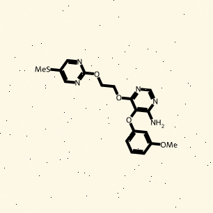 COc1cccc(Oc2c(N)ncnc2OCCOc2ncc(SC)cn2)c1